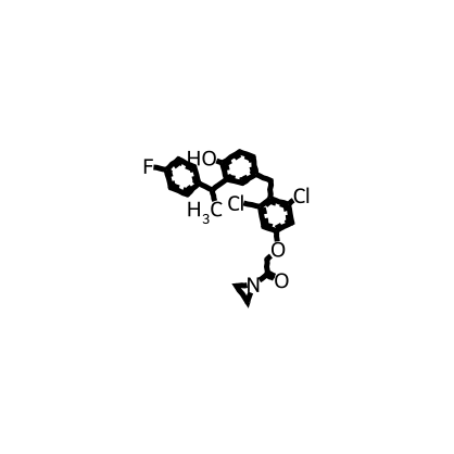 CC(c1ccc(F)cc1)c1cc(Cc2c(Cl)cc(OCC(=O)N3CC3)cc2Cl)ccc1O